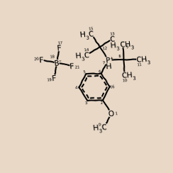 COc1cccc([PH+](C(C)(C)C)C(C)(C)C)c1.F[B-](F)(F)F